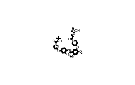 C=CC(=O)N1CCC(Oc2cc3c(Nc4ccc(Oc5ccn(C(=O)NC(C)(C)C)n5)cc4F)ncnc3cc2OC)CC1.CS(=O)(=O)O